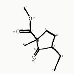 CCC1CCC(C)(C(=O)OC)C1=O